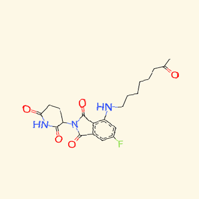 CC(=O)CCCCCCNc1cc(F)cc2c1C(=O)N(C1CCC(=O)NC1=O)C2=O